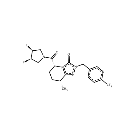 C[C@@H]1CC[C@H](C(=O)N2C[C@@H](F)[C@@H](F)C2)n2c1nn(Cc1ccc(C(F)(F)F)nc1)c2=O